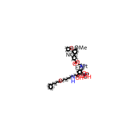 CC[N+](CC)(CCOC(=O)C1CCC(C#N)(c2ccc(OC)c(OC3CCCC3)c2)CC1)Cc1ccc(C(O)CNCCCCCCOCCCCc2ccccc2)cc1OP(=O)(O)O